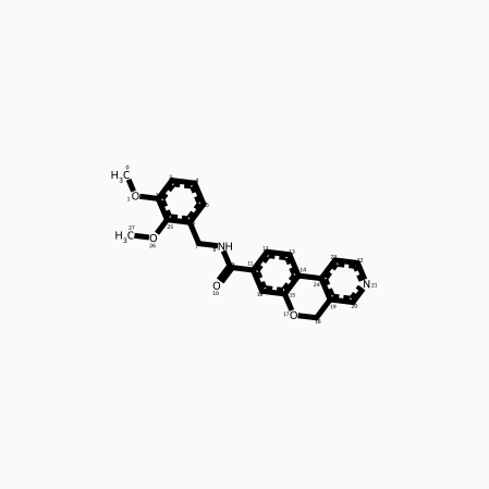 COc1cccc(CNC(=O)c2ccc3c(c2)OCc2cnccc2-3)c1OC